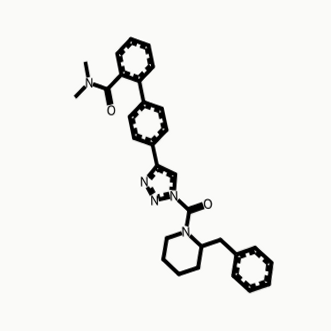 CN(C)C(=O)c1ccccc1-c1ccc(-c2cn(C(=O)N3CCCCC3Cc3ccccc3)nn2)cc1